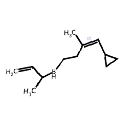 C=CC(C)BCC/C(C)=C\C1CC1